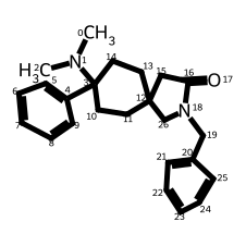 CN(C)C1(c2ccccc2)CCC2(CC1)CC(=O)N(Cc1ccccc1)C2